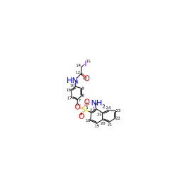 Nc1c(S(=O)(=O)Oc2ccc(NC(=O)CI)cc2)ccc2ccccc12